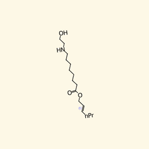 CCC/C=C/COC(=O)CCCCCCCNCCO